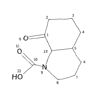 O=C1CCCC2CCCN(C(=O)O)C12